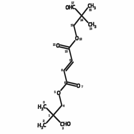 CC(C)(C=O)COC(=O)/C=C/C(=O)OCC(C)(C)C=O